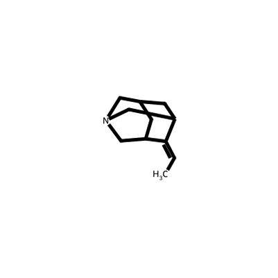 CC=C1C2CC3CC1CN(C3)C2